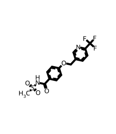 CS(=O)(=O)NC(=O)c1ccc(OCc2ccc(C(F)(F)F)nc2)cc1